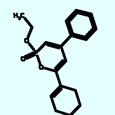 CCOP1(=O)C=C(c2ccccc2)C=C(C2=CCCCC2)O1